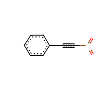 O=[SH](=O)C#Cc1ccccc1